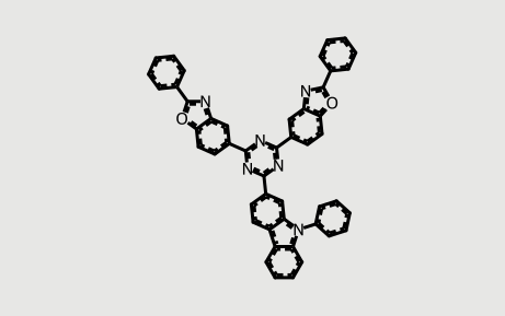 c1ccc(-c2nc3cc(-c4nc(-c5ccc6oc(-c7ccccc7)nc6c5)nc(-c5ccc6c7ccccc7n(-c7ccccc7)c6c5)n4)ccc3o2)cc1